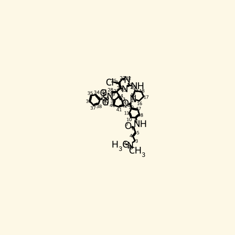 CN(C)CC=CC(=O)Nc1ccc(C(=O)N2CCC[C@@H](Nc3ncc(Cl)c(-c4cn(S(=O)(=O)c5ccccc5)c5ccccc45)n3)C2)cc1